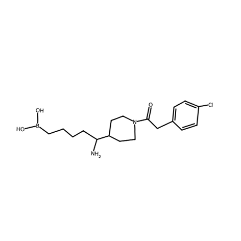 NC(CCCCB(O)O)C1CCN(C(=O)Cc2ccc(Cl)cc2)CC1